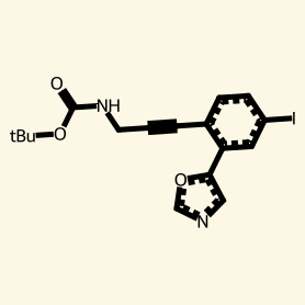 CC(C)(C)OC(=O)NCC#Cc1ccc(I)cc1-c1cnco1